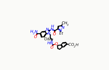 CCn1nc(C)cc1C(=O)Nc1nc2cc(C(N)=O)cc(OC)c2n1CCCNC(=O)OC1CCc2cc(C(=O)O)ccc21